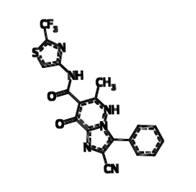 Cc1[nH]n2c(-c3ccccc3)c(C#N)nc2c(=O)c1C(=O)Nc1csc(C(F)(F)F)n1